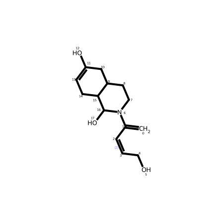 C=C(/C=C\CO)N1CCC2CC(O)=CCC2C1O